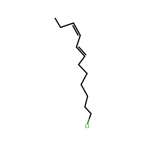 CC/C=C\C=C\CCCCCCCl